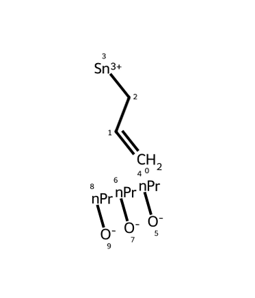 C=C[CH2][Sn+3].CCC[O-].CCC[O-].CCC[O-]